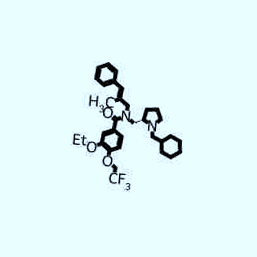 CCOc1cc(C(=O)N(C/C(C)=C/c2ccccc2)C[C@@H]2CCCN2CC2CCCCC2)ccc1OCC(F)(F)F